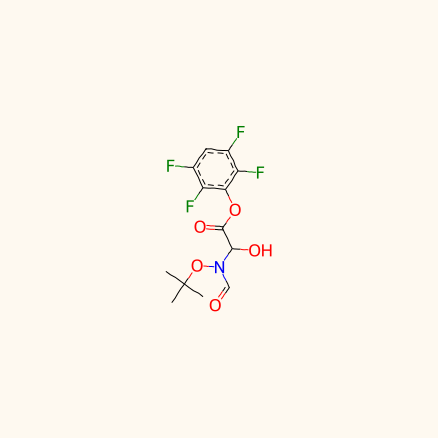 CC(C)(C)ON(C=O)C(O)C(=O)Oc1c(F)c(F)cc(F)c1F